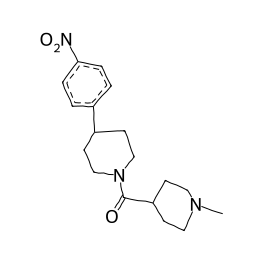 CN1CCC(C(=O)N2CCC(c3ccc([N+](=O)[O-])cc3)CC2)CC1